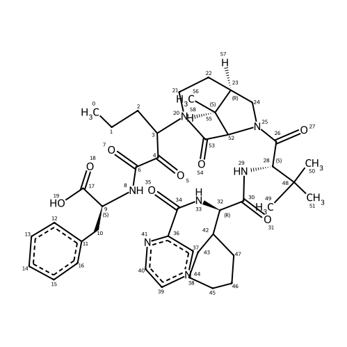 CCCC(C(=O)C(=O)N[C@@H](Cc1ccccc1)C(=O)O)N1CC[C@H]2CN(C(=O)[C@@H](NC(=O)[C@H](NC(=O)c3cnccn3)C3CCCCC3)C(C)(C)C)C(C1=O)[C@H]2C